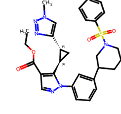 CCOC(=O)c1cnn(-c2cccc(C3CCCN(S(=O)(=O)c4ccccc4)C3)c2)c1[C@@H]1C[C@H]1c1cn(C)nn1